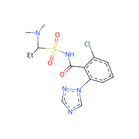 CCC(N(C)C)S(=O)(=O)NC(=O)c1c(Cl)cccc1-n1cncn1